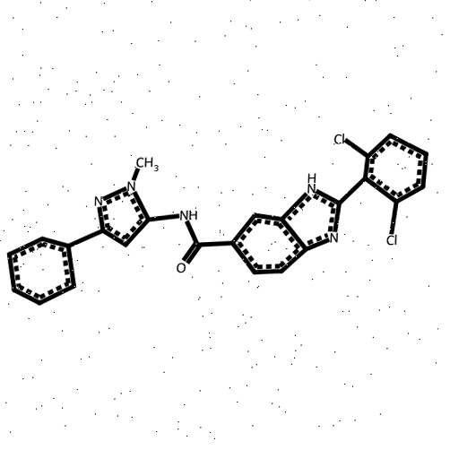 Cn1nc(-c2ccccc2)cc1NC(=O)c1ccc2nc(-c3c(Cl)cccc3Cl)[nH]c2c1